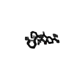 CC(OC(=O)N(C)[C@]1(c2ccccc2Cl)CCCCC1=O)C1CC(C(=O)O)CCN1C